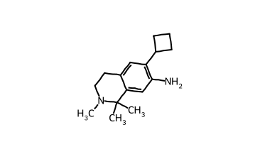 CN1CCc2cc(C3CCC3)c(N)cc2C1(C)C